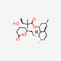 C=CC(C)(C)C(=O)O[C@H]1C[C@@H](C)C=C2C=C[C@H](C)[C@H](CC[C@@H]3C[C@@H](O)CC(=O)O3)[C@H]21